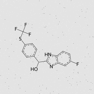 OC(c1ccc(SC(F)(F)F)cc1)c1nc2cc(F)ccc2[nH]1